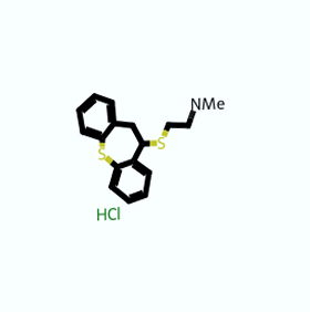 CNCCSC1Cc2ccccc2Sc2ccccc21.Cl